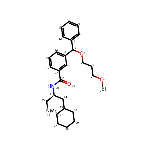 CCOCCCOC(c1ccccc1)c1cccc(C(=O)N[C@H](CNC)CC2CCCCC2)c1